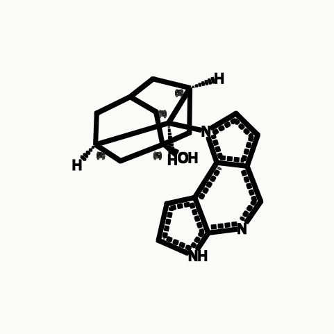 O[C@]12CC3C[C@H](C1)[C@H](n1ccc4cnc5[nH]ccc5c41)[C@@H](C3)C2